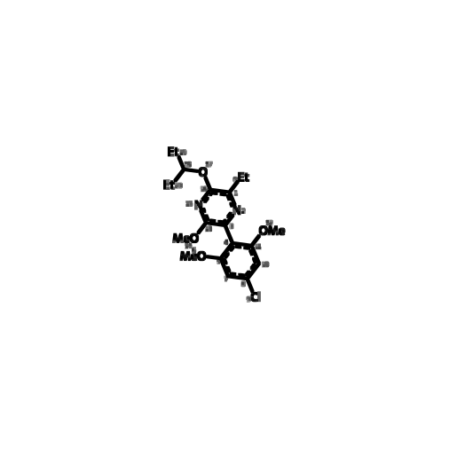 CCc1nc(-c2c(OC)cc(Cl)cc2OC)c(OC)nc1OC(CC)CC